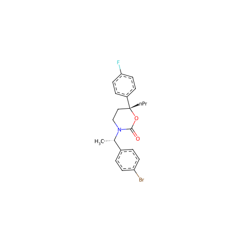 CCC[C@]1(c2ccc(F)cc2)CCN([C@@H](C)c2ccc(Br)cc2)C(=O)O1